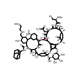 CCCCCCCCCCCCNCC1[C@H](O)C2C3C[C@H](CC[C@H]3O)[C@H]3NC(=O)[C@@H]4NC(=O)[C@H](CC(N)=O)NC(=O)[C@H](NC(=O)[C@@H](CC(C)C)NC)[C@H](O)[C@H]5CC[C@@H](Oc6cc4cc(c6O[C@@H]4O[C@H](CO)[C@@H](O)[C@H](O)[C@H]4O)O[C@@H]4CC[C@@H](C[C@@H]4Cl)[C@@H](O)[C@H](NC3=O)C(=O)N[C@H](C(=O)NC3C4CC6CC(C4)CC3C6)C2C[C@@H]1O)[C@H](Cl)C5